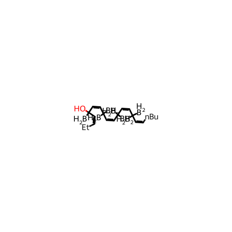 BC(B)(/C=C\CCCC)/C=C\C(B)(B)/C=C\C(B)(B)/C=C\C(B)(O)/C=C\CC